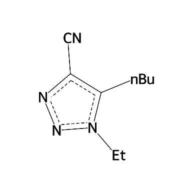 CCCCc1c(C#N)nnn1CC